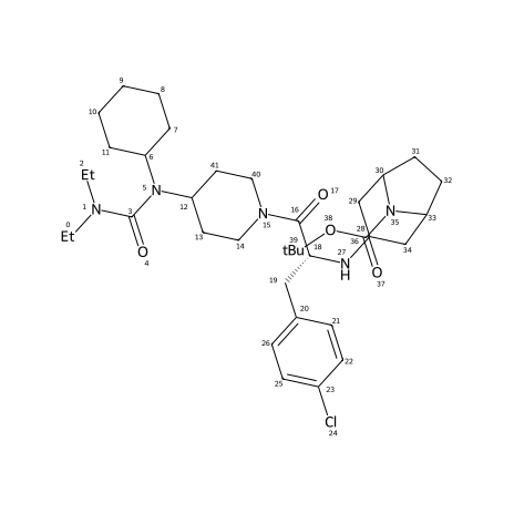 CCN(CC)C(=O)N(C1CCCCC1)C1CCN(C(=O)[C@@H](Cc2ccc(Cl)cc2)NC2CC3CCC(C2)N3C(=O)OC(C)(C)C)CC1